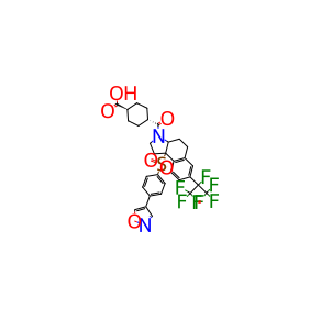 O=C(O)[C@H]1CC[C@H](C(=O)N2CCC3(S(=O)(=O)c4ccc(-c5cnoc5)cc4)c4ccc(C(F)(C(F)(F)F)C(F)(F)F)cc4CCC23)CC1